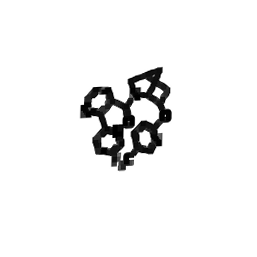 O=C(c1cccnc1-c1ccccn1)N1CC2CC23CC(Oc2ccc(C(F)(F)F)cn2)C13